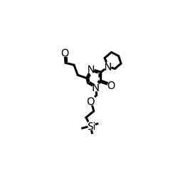 C[Si](C)(C)CCOCn1cc(CCC=O)nc(N2CCCCC2)c1=O